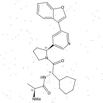 CN[C@@H](C)C(=O)N[C@H](C(=O)N1CCC[C@H]1c1cncc(-c2coc3ccccc23)c1)C1CCCCC1